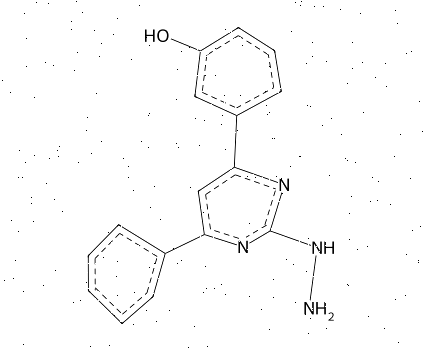 NNc1nc(-c2ccccc2)cc(-c2cccc(O)c2)n1